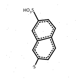 O=S(=O)(O)c1ccc2ccc([S])cc2c1